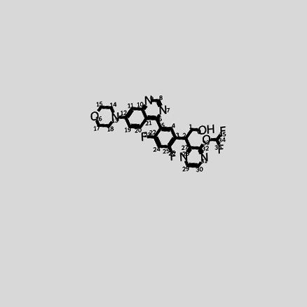 OCC(c1cc(-c2ncnc3cc(N4CCOCC4)ccc23)c(F)cc1F)c1nccnc1OC(F)F